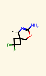 C[C@@H]1N=C(N)OCC12CC(F)(F)C2